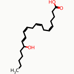 CCCCCC(O)/C=C/C=C\C/C=C\C/C=C\CCCC(=O)O